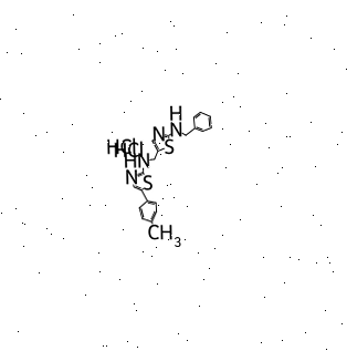 Cc1ccc(-c2cnc(NCc3cnc(NCc4ccccc4)s3)s2)cc1.Cl.Cl